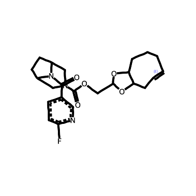 O=C(OCC1OC2C/C=C/CCCC2O1)N1CC2CCC(C1)N2C(=O)c1ccc(F)nc1